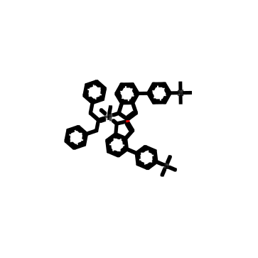 C[Si](C)(C)c1ccc(-c2cccc3c2C=C[CH]3[Hf]([CH3])([CH3])(=[C](Cc2ccccc2)Cc2ccccc2)[CH]2C=Cc3c(-c4ccc([Si](C)(C)C)cc4)cccc32)cc1